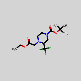 CCOC(=O)CN1CCN(C(=O)OC(C)(C)C)CC1C(F)(F)F